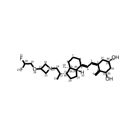 C=C1C(=CC=C2CCC[C@]3(C)[C@@H](C(C)CN4CC(OCC(F)F)C4)CC[C@@H]23)C[C@@H](O)C[C@H]1O